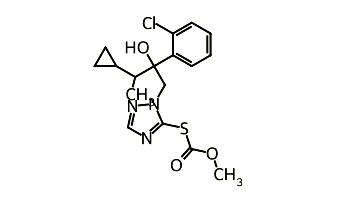 COC(=O)Sc1ncnn1CC(O)(c1ccccc1Cl)C(C)C1CC1